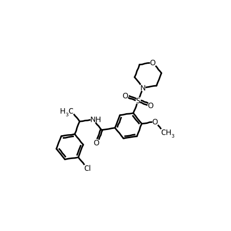 COc1ccc(C(=O)NC(C)c2cccc(Cl)c2)cc1S(=O)(=O)N1CCOCC1